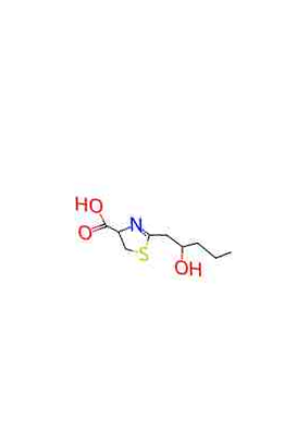 CCCC(O)CC1=NC(C(=O)O)CS1